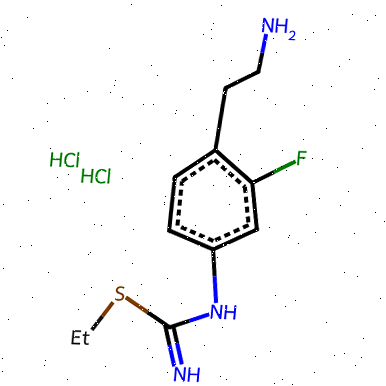 CCSC(=N)Nc1ccc(CCN)c(F)c1.Cl.Cl